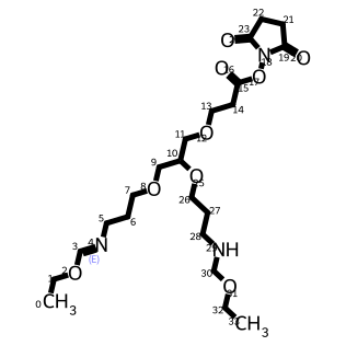 CCO/C=N/CCCOCC(COCCC(=O)ON1C(=O)CCC1=O)OCCCNCOCC